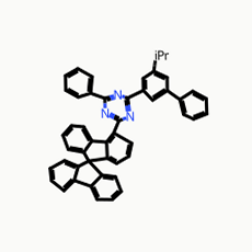 CC(C)c1cc(-c2ccccc2)cc(-c2nc(-c3ccccc3)nc(-c3cccc4c3-c3ccccc3C43c4ccccc4-c4ccccc43)n2)c1